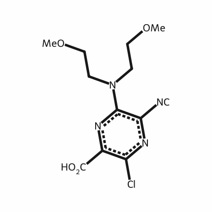 [C-]#[N+]c1nc(Cl)c(C(=O)O)nc1N(CCOC)CCOC